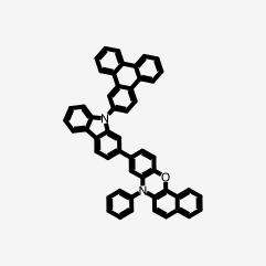 c1ccc(N2c3cc(-c4ccc5c6ccccc6n(-c6ccc7c8ccccc8c8ccccc8c7c6)c5c4)ccc3Oc3c2ccc2ccccc32)cc1